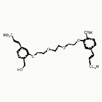 COc1ccc(/C=C/C(=O)O)cc1OCCOCCOCCOc1cc(/C=C/C(=O)O)ccc1CO